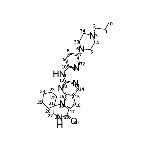 CCCN1CCN(c2ccc(Nc3ncc4cc5n(c4n3)C3(CCCCC3)CNC5=O)nc2)CC1